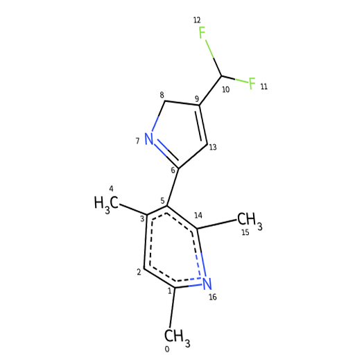 Cc1cc(C)c(C2=NCC(C(F)F)=C2)c(C)n1